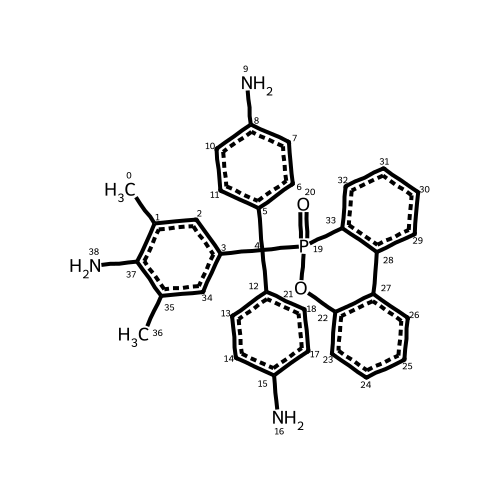 Cc1cc(C(c2ccc(N)cc2)(c2ccc(N)cc2)P2(=O)Oc3ccccc3-c3ccccc32)cc(C)c1N